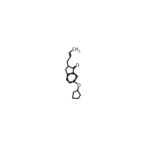 CC=CCC1Cc2ccc(OC3CCCC3)cc2C1=O